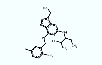 CCC(Nc1nc(NCc2cc(I)ccc2N)c2ncn(CC)c2n1)C(C)O